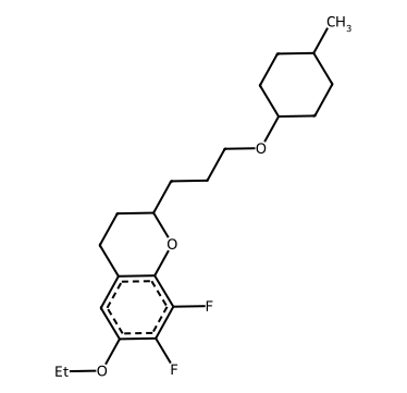 CCOc1cc2c(c(F)c1F)OC(CCCOC1CCC(C)CC1)CC2